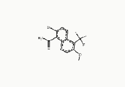 COc1ccc2c(C(N)=O)c(Br)ccc2c1C(F)(F)F